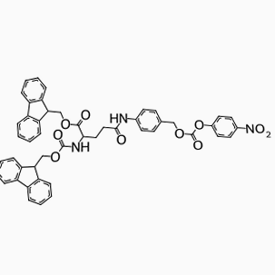 O=C(CCC(NC(=O)OCC1c2ccccc2-c2ccccc21)C(=O)OCC1c2ccccc2-c2ccccc21)Nc1ccc(COC(=O)Oc2ccc([N+](=O)[O-])cc2)cc1